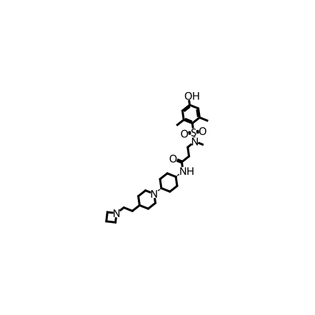 Cc1cc(O)cc(C)c1S(=O)(=O)N(C)CCC(=O)N[C@H]1CC[C@@H](N2CCC(CCN3CCC3)CC2)CC1